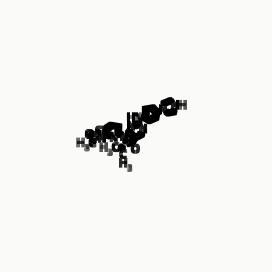 CC(C)n1c(=O)c2cnc(Nc3ccc(N4CCNCC4)cc3)nc2n1-c1cccc(N=S(C)(C)=O)n1